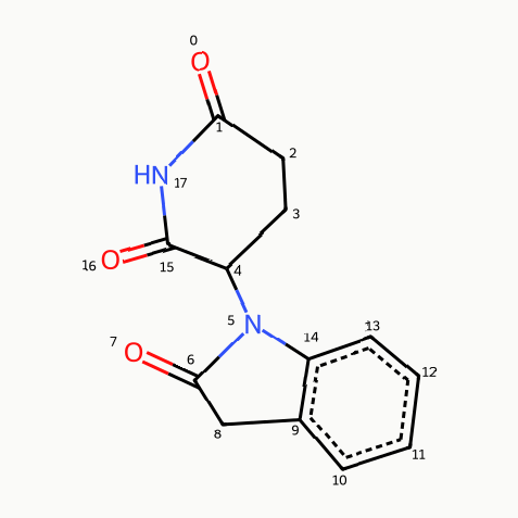 O=C1CCC(N2C(=O)Cc3ccccc32)C(=O)N1